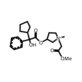 COC(=O)C[N+]1(C)CCC(OC(=O)C(O)(c2ccccc2)C2CCCC2)C1